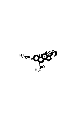 COCOC1CCC2(C)C(C1)C(OC(C)=O)CC1C2CCC2(C)C1CCC2C1(C)OCCO1